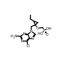 CCC1CC1(Cn1cnc2c(Cl)nc(N)nc21)OCP(=O)(O)O